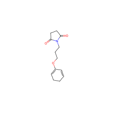 O=C1CCC(=O)N1CCCOC1=CC[CH]C=C1